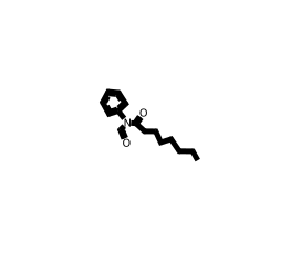 CCCCCCCC(=O)N(C=O)c1ccccc1